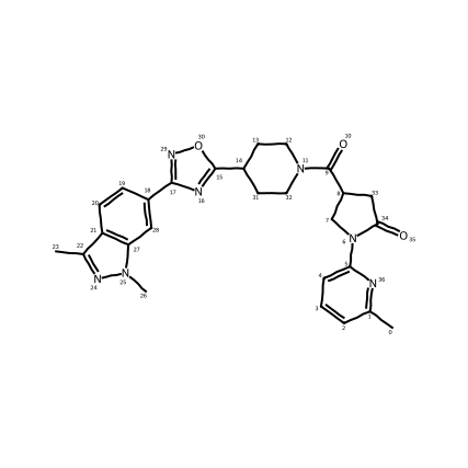 Cc1cccc(N2CC(C(=O)N3CCC(c4nc(-c5ccc6c(C)nn(C)c6c5)no4)CC3)CC2=O)n1